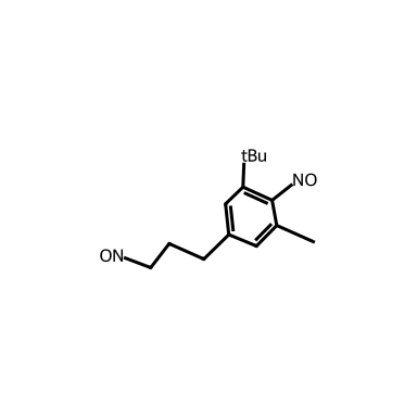 Cc1cc(CCCN=O)cc(C(C)(C)C)c1N=O